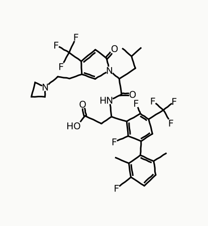 Cc1ccc(F)c(C)c1-c1cc(C(F)(F)F)c(F)c(C(CC(=O)O)NC(=O)C(CC(C)C)n2cc(CCN3CCC3)c(C(F)(F)F)cc2=O)c1F